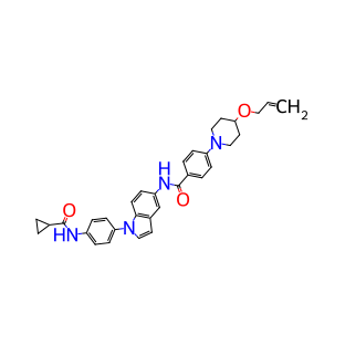 C=CCOC1CCN(c2ccc(C(=O)Nc3ccc4c(ccn4-c4ccc(NC(=O)C5CC5)cc4)c3)cc2)CC1